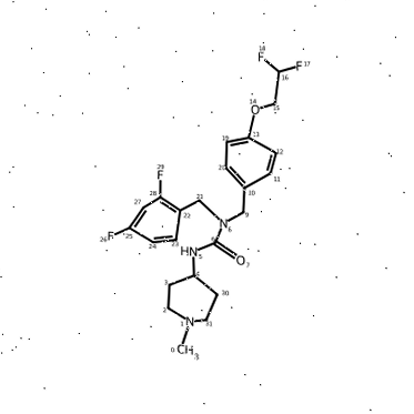 CN1CCC(NC(=O)N(Cc2ccc(OCC(F)F)cc2)Cc2ccc(F)cc2F)CC1